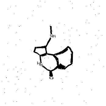 CNC1CCc2[nH]c(=O)c3ccccc3c21